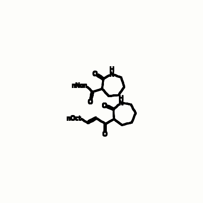 CCCCCCCCC=CC(=O)C1CCCCNC1=O.CCCCCCCCCC(=O)C1CCCCNC1=O